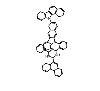 C1=CCCC(C2=NC(c3ccccc3-n3c4c(c5ccccc53)=CC3CC(n5c6c(c7ccc8c(c75)CCC=C8)CCC=C6)=CC=C3C=4)NC(C3=CC4C=CC=CC4C4=C3CCC=C4)N2)=C1